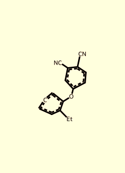 CCc1ccccc1Oc1ccc(C#N)c(C#N)c1